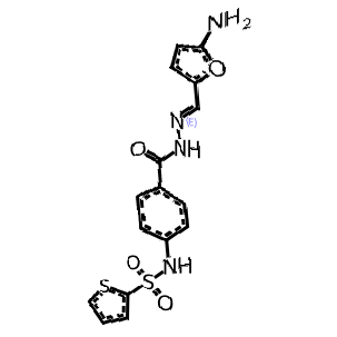 Nc1ccc(/C=N/NC(=O)c2ccc(NS(=O)(=O)c3cccs3)cc2)o1